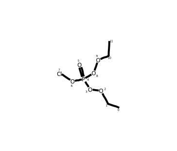 CCOOP(=O)(OCl)OOCC